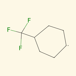 FC(F)(F)C1CC[CH]CC1